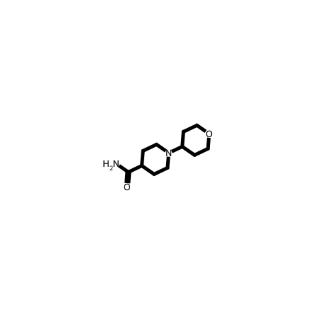 NC(=O)C1CCN(C2CCOCC2)CC1